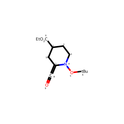 CCOC(=O)C1CCN(OC(C)(C)C)C(=C=O)C1